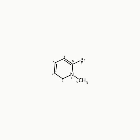 CN1CC=CC=C1Br